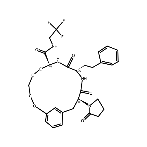 O=C(NCC(F)(F)F)[C@@H]1COCCOc2cccc(c2)C[C@H](N2CCCC2=O)C(=O)N[C@@H](CCc2ccccc2)C(=O)N1